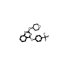 FC(F)(F)c1ccc(Oc2nc(OC3CCOCC3)nc3ccccc23)cc1